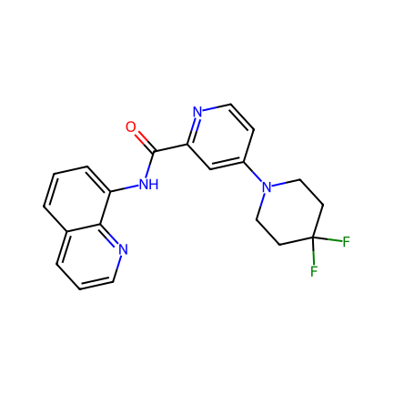 O=C(Nc1cccc2cccnc12)c1cc(N2CCC(F)(F)CC2)ccn1